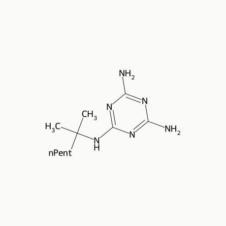 CCCCCC(C)(C)Nc1nc(N)nc(N)n1